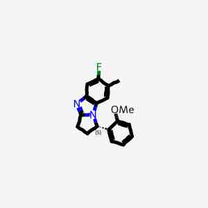 COc1ccccc1[C@@H]1CCc2nc3cc(F)c(C)cc3n21